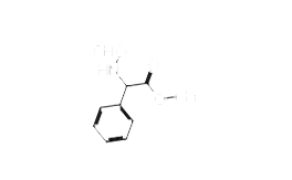 CCCOC(=O)C(N[C]=O)c1ccccc1